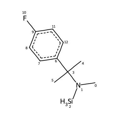 CN([SiH3])C(C)(C)c1ccc(F)cc1